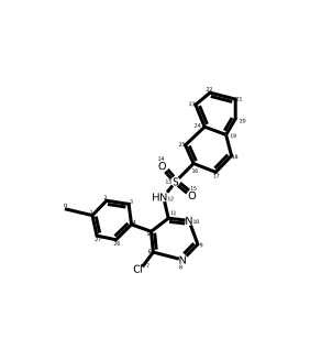 Cc1ccc(-c2c(Cl)ncnc2NS(=O)(=O)c2ccc3ccccc3c2)cc1